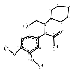 CCN(C1CCCCC1)C(C(=O)O)c1ccc(OC)c(OC)c1